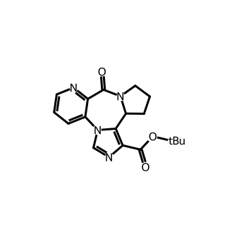 CC(C)(C)OC(=O)c1ncn2c1C1CCCN1C(=O)c1ncccc1-2